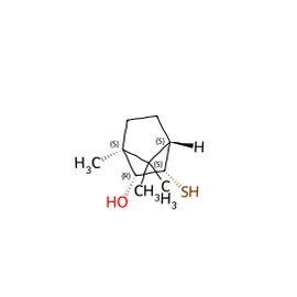 CC1(C)[C@@H]2CC[C@]1(C)[C@@H](O)[C@H]2S